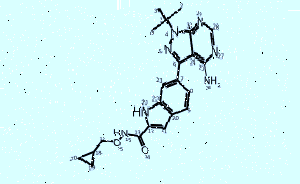 CC(C)(C)n1nc(-c2ccc3cc(C(=O)NOCC4CC4)[nH]c3c2)c2c(N)ncnc21